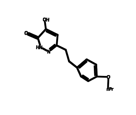 CCCOc1ccc(CCc2cc(O)c(=O)[nH]n2)cc1